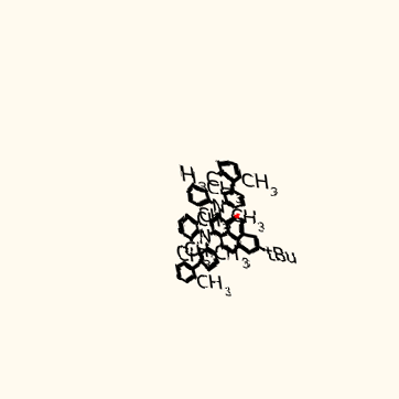 Cc1ccc(-c2c(C)cccc2C)cc1N(c1c(C)cccc1C)c1cc(N(c2cc(-c3c(C)cccc3C)ccc2C)c2c(C)cccc2C)c2ccc3cc(C(C)(C)C)cc4ccc1c2c43